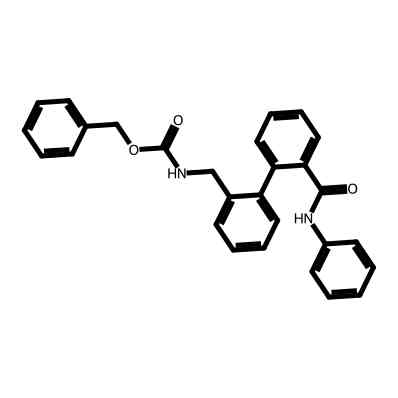 O=C(NCc1ccccc1-c1ccccc1C(=O)Nc1ccccc1)OCc1ccccc1